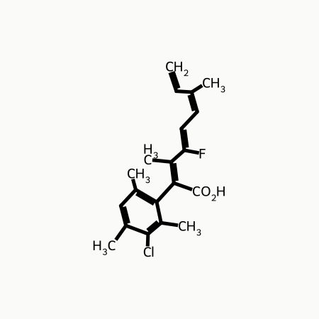 C=CC(C)=CC=C(F)C(C)=C(C(=O)O)c1c(C)cc(C)c(Cl)c1C